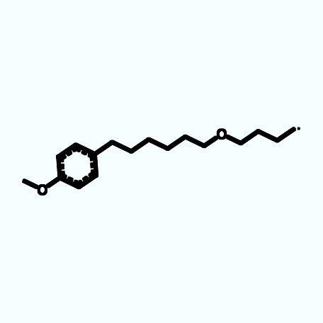 [CH2]CCCOCCCCCCc1ccc(OC)cc1